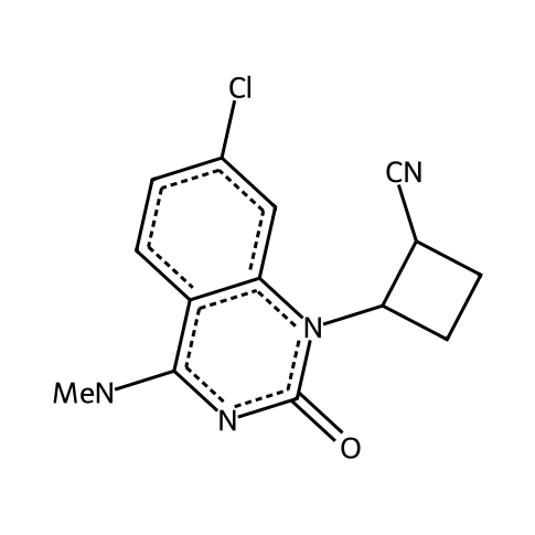 CNc1nc(=O)n(C2CCC2C#N)c2cc(Cl)ccc12